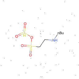 CCCCNCCS(=O)(=O)O[SH](=O)=O